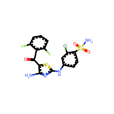 Nc1nc(Nc2ccc(S(N)(=O)=O)c(Cl)c2)sc1C(=O)c1c(F)cccc1F